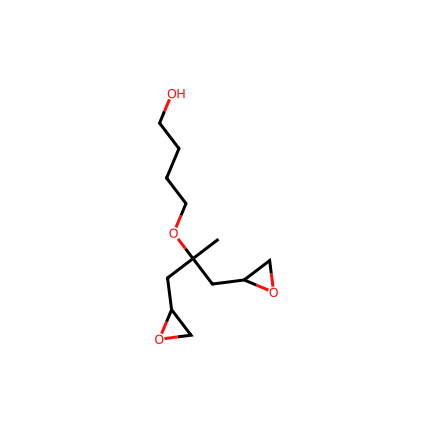 CC(CC1CO1)(CC1CO1)OCCCCO